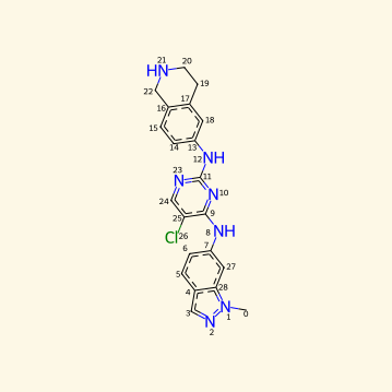 Cn1ncc2ccc(Nc3nc(Nc4ccc5c(c4)CCNC5)ncc3Cl)cc21